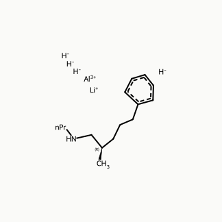 CCCNC[C@H](C)CCCc1ccccc1.[Al+3].[H-].[H-].[H-].[H-].[Li+]